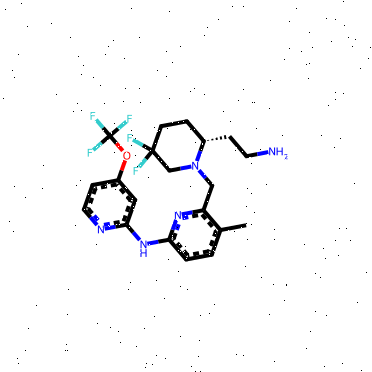 Cc1ccc(Nc2cc(OC(F)(F)F)ccn2)nc1CN1CC(F)(F)CC[C@@H]1CCN